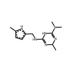 Cc1ccc(CNC2=NC(C)N=C(N(C)C)N2)[nH]1